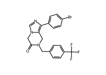 O=C1Cn2cnc(-c3ccc(Br)cc3)c2CN1Cc1ccc(C(F)(F)F)cc1